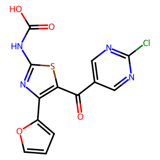 O=C(O)Nc1nc(-c2ccco2)c(C(=O)c2cnc(Cl)nc2)s1